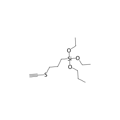 C#CSCCC[Si](OCC)(OCC)OCCC